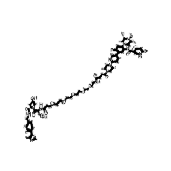 Cc1ncsc1-c1ccc(CNC(=O)[C@@H]2C[C@@H](O)CN2C(=O)[C@@H](NC(=O)CCOCCOCCOCCOCCOCCNC(=O)CCC(=O)N2CCN(c3ccc(-c4cc(NC(=O)c5c[nH]c(=O)cc5C(F)(F)F)c(N5C[C@@H](C)N(C)[C@@H](C)C5)cc4F)cn3)CC2)C(C)(C)C)cc1